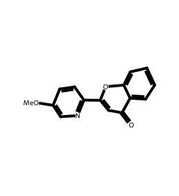 COc1ccc(-c2cc(=O)c3ccccc3o2)nc1